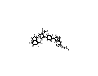 CN(C)[C@H]1CN(C2CCc3cccc(F)c32)C[C@@H]1c1ccc(-c2cnn(CC(N)=O)c2)cc1